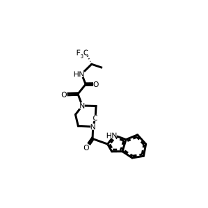 C[C@H](NC(=O)C(=O)N1CCN(C(=O)c2cc3ccccc3[nH]2)CC1)C(F)(F)F